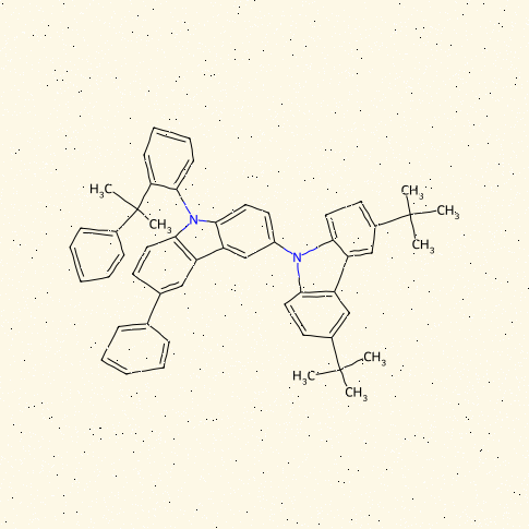 CC(C)(C)c1ccc2c(c1)c1cc(C(C)(C)C)ccc1n2-c1ccc2c(c1)c1cc(-c3ccccc3)ccc1n2-c1ccccc1C(C)(C)c1ccccc1